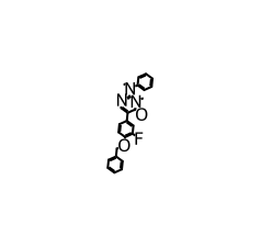 CN(c1ccccc1)c1ncc(-c2ccc(OCc3ccccc3)c(F)c2)c(=O)n1C